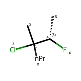 CCCC(C)(Cl)[C@H](C)F